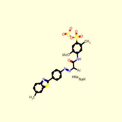 COc1cc(S(=O)(=O)O[SH](=O)=O)c(C)cc1NC(=O)C(N=Nc1ccc(-c2nc3ccc(C)cc3s2)cc1)C(C)=O.[NaH].[NaH]